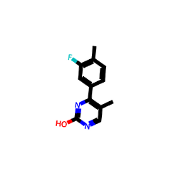 Cc1ccc(-c2nc(O)ncc2C)cc1F